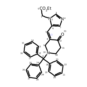 CCOC(=O)Cn1cncc1/C=C1/CN(C(c2ccccc2)(c2ccccc2)c2ccccc2)CCC1=O